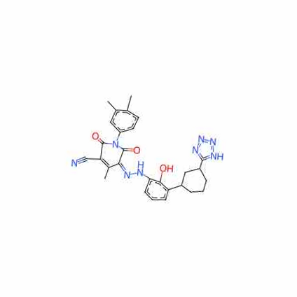 CC1=C(C#N)C(=O)N(c2ccc(C)c(C)c2)C(=O)C1=NNc1cccc(C2CCCC(c3nnn[nH]3)C2)c1O